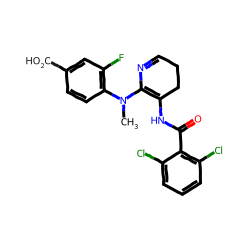 CN(C1=C(NC(=O)c2c(Cl)cccc2Cl)CCC=N1)c1ccc(C(=O)O)cc1F